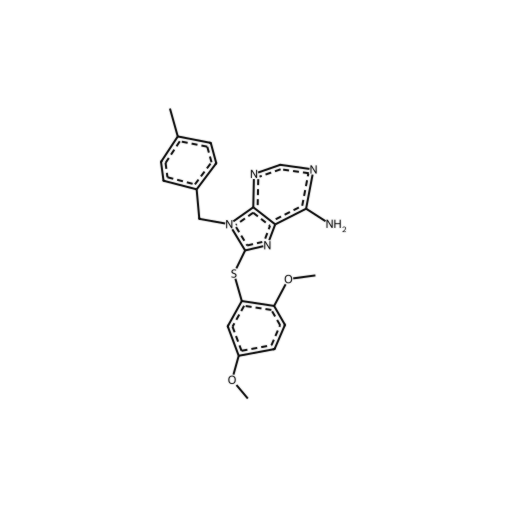 COc1ccc(OC)c(Sc2nc3c(N)ncnc3n2Cc2ccc(C)cc2)c1